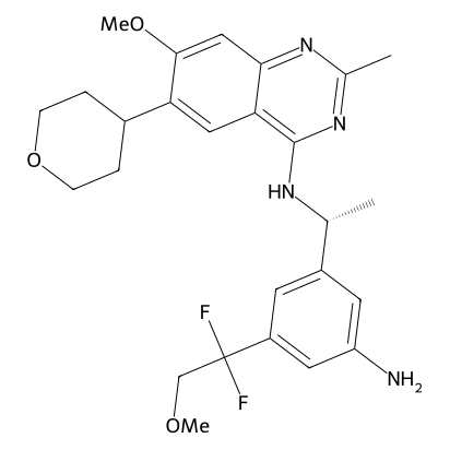 COCC(F)(F)c1cc(N)cc([C@@H](C)Nc2nc(C)nc3cc(OC)c(C4CCOCC4)cc23)c1